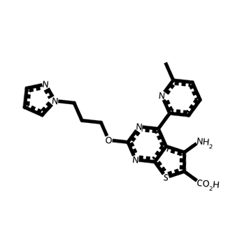 Cc1cccc(-c2nc(OCCCn3cccn3)nc3sc(C(=O)O)c(N)c23)n1